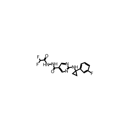 O=C(NNC(=O)C(F)F)c1cnc(NC2(c3cccc(F)c3)CC2)nc1